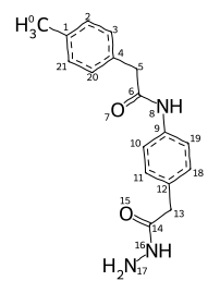 Cc1ccc(CC(=O)Nc2ccc(CC(=O)NN)cc2)cc1